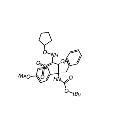 COc1ccc([C@](Cc2ccccc2)(NC(=O)OC(C)(C)C)[C@@H](O)C(NOC2CCCC2)=S(=O)=O)cc1